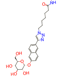 O=C(CCCCCCn1cc(-c2ccc3cc(O[C@H]4O[C@H](CO)[C@@H](O)[C@H](O)[C@H]4O)ccc3c2)nn1)NO